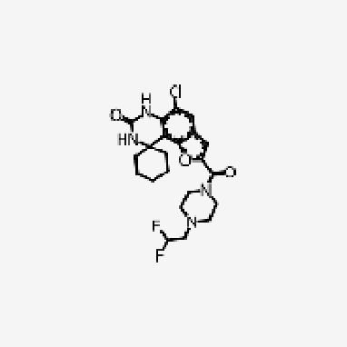 O=C1Nc2c(Cl)cc3cc(C(=O)N4CCN(CC(F)F)CC4)oc3c2C2(CCCCC2)N1